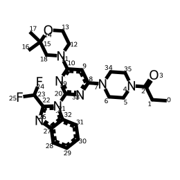 CCC(=O)N1CCN(c2cc(N3CCOC(C)(C)C3)nc(-n3c(C(F)F)nc4ccccc43)n2)CC1